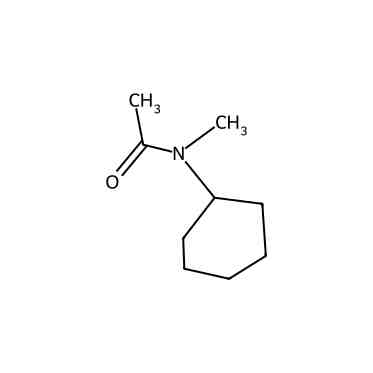 CC(=O)N(C)C1CCCCC1